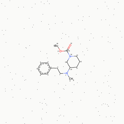 CN(CCc1ccccc1)C1CCCN(C(=O)OC(C)(C)C)C1